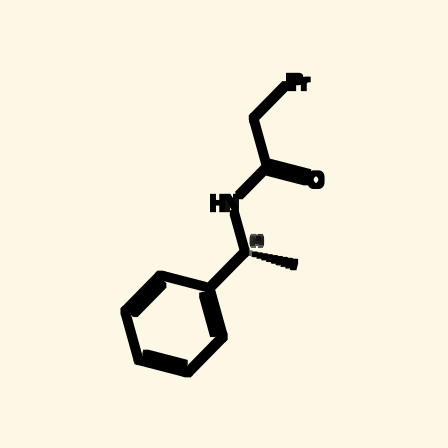 CC(C)CC(=O)N[C@H](C)c1ccccc1